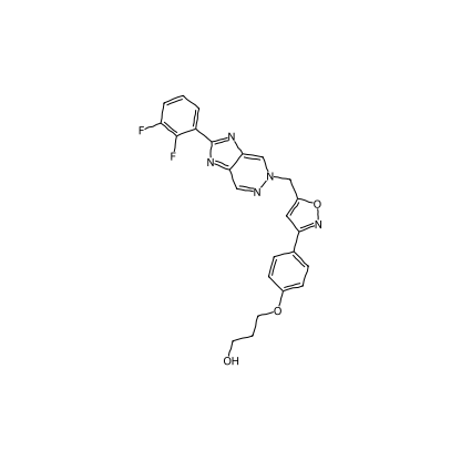 OCCCOc1ccc(-c2cc(Cn3cc4nc(-c5cccc(F)c5F)nc-4cn3)on2)cc1